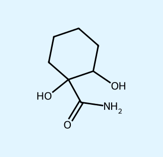 NC(=O)C1(O)CCCCC1O